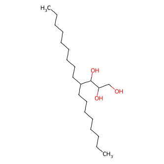 CCCCCCCCCC(CCCCCCCC)C(O)C(O)CO